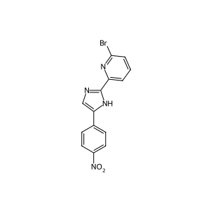 O=[N+]([O-])c1ccc(-c2cnc(-c3cccc(Br)n3)[nH]2)cc1